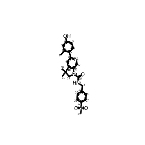 Cc1cc(O)ccc1-c1cc2c(cn1)N(C(=O)NCc1ccc(S(C)(=O)=O)cc1)CC2(C)C